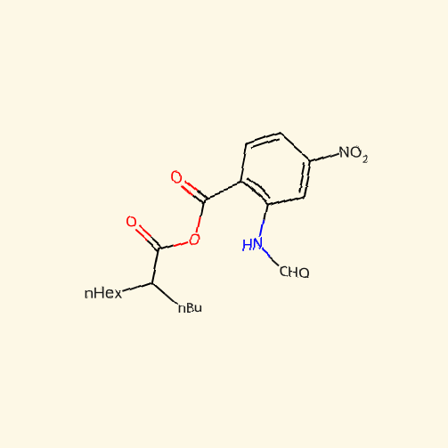 CCCCCCC(CCCC)C(=O)OC(=O)c1ccc([N+](=O)[O-])cc1NC=O